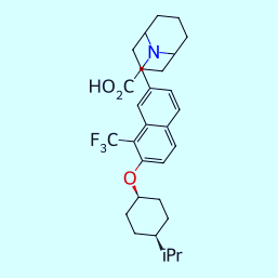 CC(C)[C@H]1CC[C@@H](Oc2ccc3ccc(CN4C5CCCC4CC(C(=O)O)C5)cc3c2C(F)(F)F)CC1